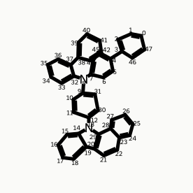 c1ccc(-c2ccc(N(c3ccc(-n4c5ccccc5c5ccc6ccccc6c54)cc3)c3ccccc3-c3ccccc3)cc2)cc1